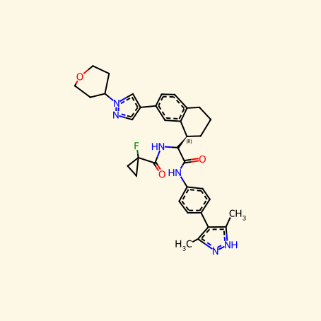 Cc1n[nH]c(C)c1-c1ccc(NC(=O)C(NC(=O)C2(F)CC2)[C@@H]2CCCc3ccc(-c4cnn(C5CCOCC5)c4)cc32)cc1